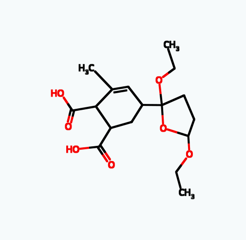 CCOC1CCC(OCC)(C2C=C(C)C(C(=O)O)C(C(=O)O)C2)O1